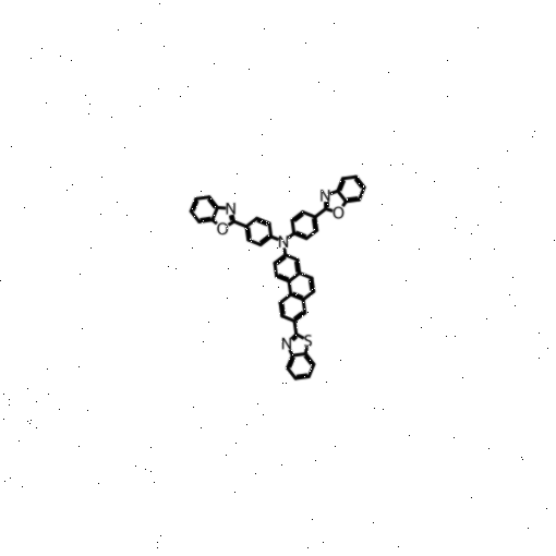 c1ccc2oc(-c3ccc(N(c4ccc(-c5nc6ccccc6o5)cc4)c4ccc5c(ccc6cc(-c7nc8ccccc8s7)ccc65)c4)cc3)nc2c1